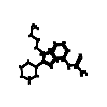 COCCn1c(C2CCCNC2)nc2c(OC(N)=O)cccc21